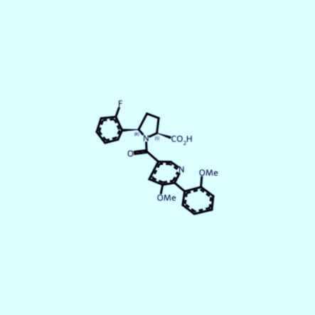 COc1ccccc1-c1ncc(C(=O)N2[C@@H](c3ccccc3F)CC[C@H]2C(=O)O)cc1OC